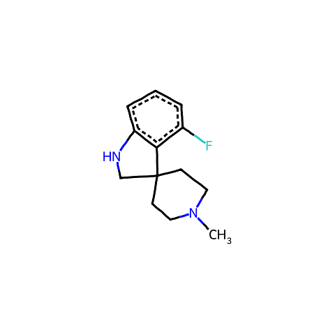 CN1CCC2(CC1)CNc1cccc(F)c12